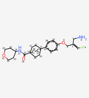 NC/C(=C\F)COc1ccc(C23CCC(C(=O)NC4CCOCC4)(CC2)CC3)cc1